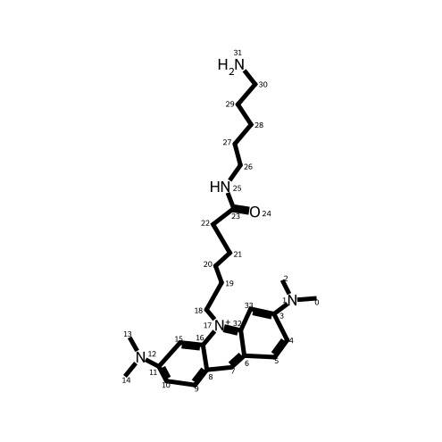 CN(C)c1ccc2cc3ccc(N(C)C)cc3[n+](CCCCCC(=O)NCCCCCN)c2c1